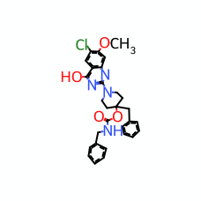 COc1cc2nc(N3CCC(Cc4ccccc4)(OC(=O)NCc4ccccc4)CC3)nc(O)c2cc1Cl